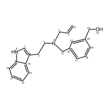 C=CCN(CCc1c[nH]c2ccccc12)Cc1cccc(CO)c1